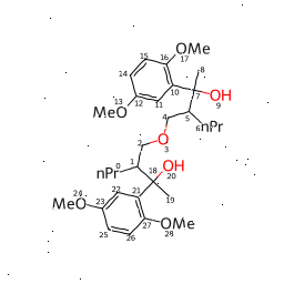 CCCC(COCC(CCC)C(C)(O)c1cc(OC)ccc1OC)C(C)(O)c1cc(OC)ccc1OC